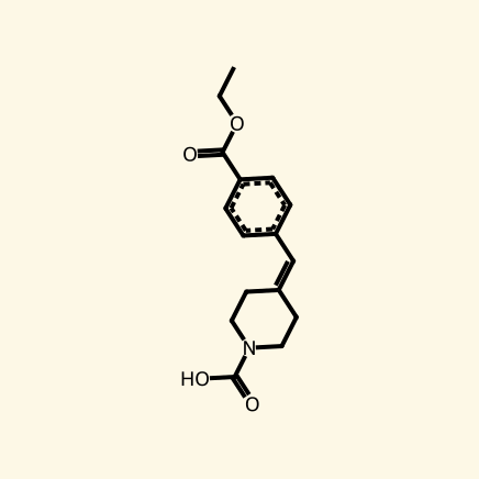 CCOC(=O)c1ccc(C=C2CCN(C(=O)O)CC2)cc1